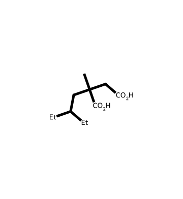 CCC(CC)CC(C)(CC(=O)O)C(=O)O